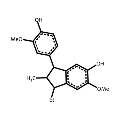 CCC1c2cc(OC)c(O)cc2C(c2ccc(O)c(OC)c2)C1C